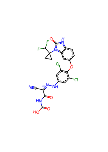 N#C/C(=N/Nc1cc(Cl)c(Oc2ccc3[nH]c(=O)n(C4(C(F)F)CC4)c3c2)c(Cl)c1)C(=O)NC(=O)O